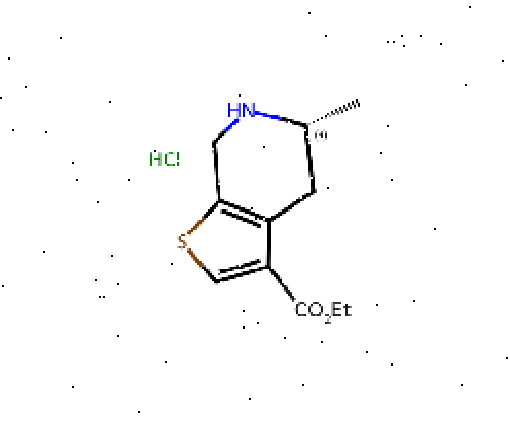 CCOC(=O)c1csc2c1C[C@@H](C)NC2.Cl